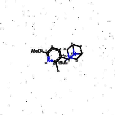 COc1ccc(CN2C3CC2CN(C(C)(C)C)C3)c(C)n1